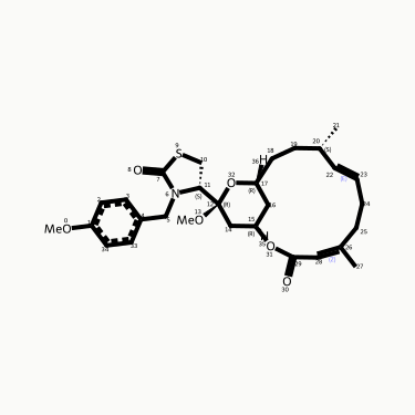 COc1ccc(CN2C(=O)SC[C@@H]2[C@@]2(OC)C[C@H]3C[C@@H](CC[C@H](C)/C=C/CC/C(C)=C\C(=O)O3)O2)cc1